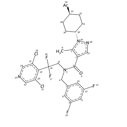 Cc1c(C(=O)N(Cc2cc(F)cc(F)c2)CC(F)(F)c2c(Cl)cncc2Cl)cnn1[C@H]1CC[C@H](C(C)=O)CC1